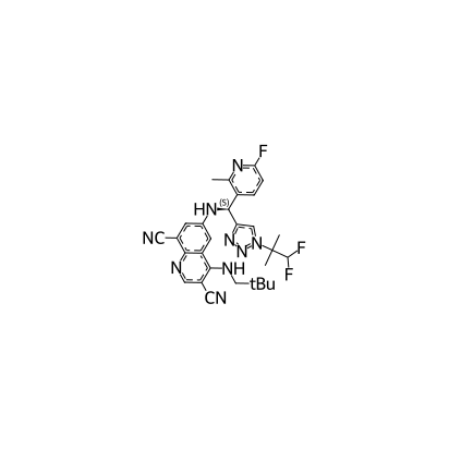 Cc1nc(F)ccc1[C@H](Nc1cc(C#N)c2ncc(C#N)c(NCC(C)(C)C)c2c1)c1cn(C(C)(C)C(F)F)nn1